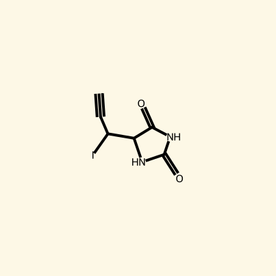 [C]#CC(I)C1NC(=O)NC1=O